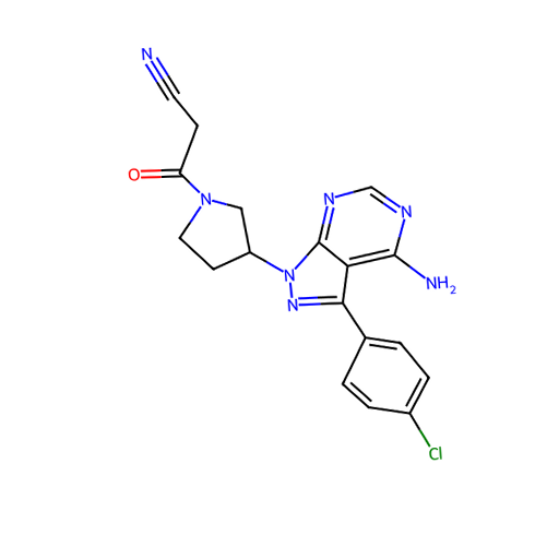 N#CCC(=O)N1CCC(n2nc(-c3ccc(Cl)cc3)c3c(N)ncnc32)C1